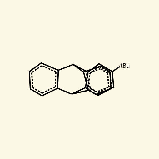 CC(C)(C)c1ccc2c(c1)C1c3ccccc3C2c2ccccc21